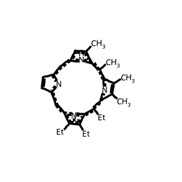 CCc1c(CC)c2c(CC)c3nc(c(C)c4[nH]c(cc5nc(cc1n2CC)C=C5)cc4C)C(C)=C3C